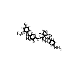 Nc1ccc(C(=O)N[C@@]2(C(=O)NCc3ncc(Nc4ccc(Cl)cc4C(F)(F)F)cc3F)CCOC2)cn1